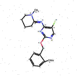 COc1ccccc1COc1ncc(F)c(/N=C2\CCCCN2C)n1